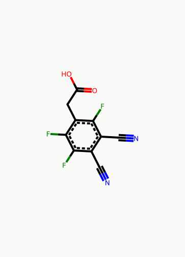 N#Cc1c(F)c(F)c(CC(=O)O)c(F)c1C#N